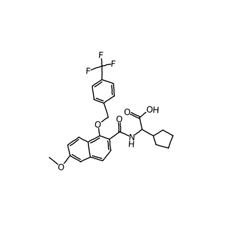 COc1ccc2c(OCc3ccc(C(F)(F)F)cc3)c(C(=O)NC(C(=O)O)C3CCCC3)ccc2c1